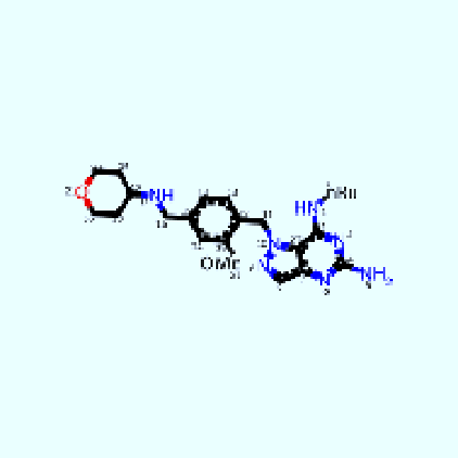 CCCCNc1nc(N)nc2cnn(Cc3ccc(CNC4CCOCC4)cc3OC)c12